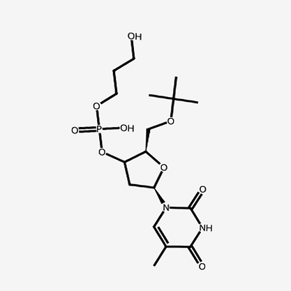 Cc1cn([C@H]2CC(OP(=O)(O)OCCCO)[C@@H](COC(C)(C)C)O2)c(=O)[nH]c1=O